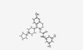 O=C(CN1CCc2cc(O)ccc2C1C1CCN(C2CCCC2)CC1)Nc1cc(Cl)cc(Cl)c1